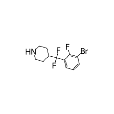 Fc1c(Br)cccc1C(F)(F)C1CCNCC1